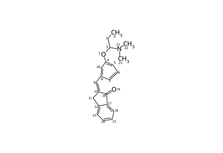 CCC(Oc1cccc(C=C2Cc3ccccc3C2=O)c1)N(C)C